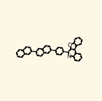 c1ccc2cc(-c3ccc4cc(-c5ccc(-c6nc7ccccc7c7c6oc6ccccc67)cc5)ccc4c3)ccc2c1